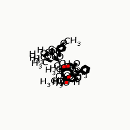 COc1ccc(C2O[C@@H](C(=O)O[C@@H]3C(C)=C4[C@@H](OC(C)=O)C(=O)[C@]5(C)[C@@H](O)C[C@H]6OC[C@@]6(OC(C)=O)[C@@]5(C)[C@H](OC(=O)c5ccccc5)[C@@]5(OC(=O)C[C@@H]35)C4(C)C)[C@H](CC(C)C)N2C(=O)OC(C)(C)C)c(OC)c1